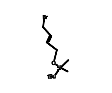 CC(C)(C)[Si](C)(C)OC/C=C/CBr